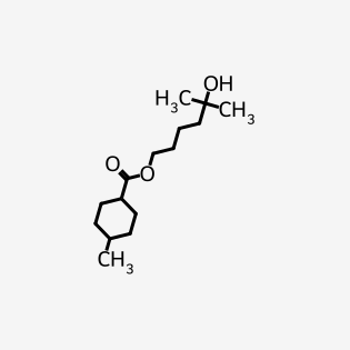 CC1CCC(C(=O)OCCCCC(C)(C)O)CC1